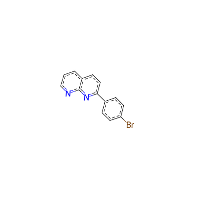 Brc1ccc(-c2ccc3cccnc3n2)cc1